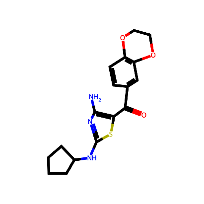 Nc1nc(NC2CCCC2)sc1C(=O)c1ccc2c(c1)OCCO2